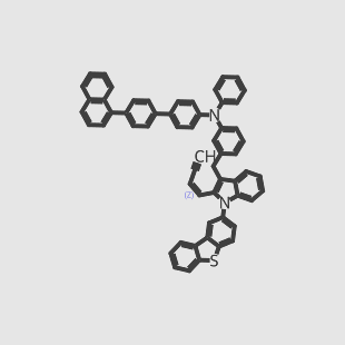 C#C/C=C\c1c(Cc2cccc(N(c3ccccc3)c3ccc(-c4ccc(-c5cccc6c5C=C=C=C6)cc4)cc3)c2)c2ccccc2n1-c1ccc2sc3ccccc3c2c1